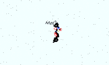 COc1ccc(CN2C(=O)S/C(=C\c3ccc(-c4ccc(C)cc4)o3)C2=O)cc1